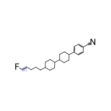 N#Cc1ccc(C2CCC(C3CCC(CCC/C=C/F)CC3)CC2)cc1